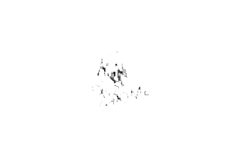 COC(OC(C)C)C(C)C(C)C(=O)Nc1cccc(CO/N=C(/c2ccccc2)c2nnnn2C)n1